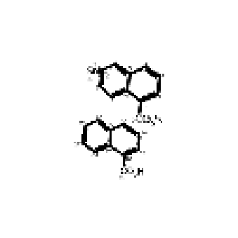 O=C(O)c1cccc2ccccc12.O=C(O)c1cccc2ccccc12.[SnH2]